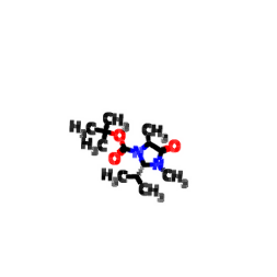 CC(C)[C@H]1N(C)C(=O)[C@H](C)N1C(=O)OC(C)(C)C